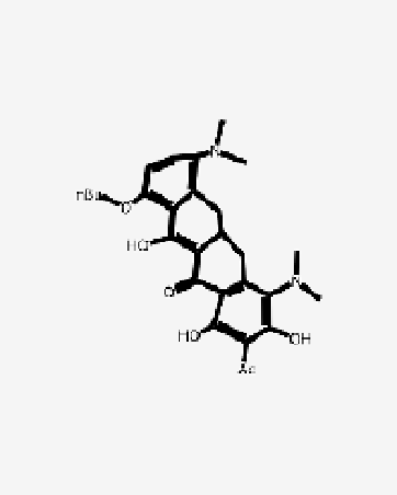 CCCCOc1ccc(N(C)C)c2c1C(O)=C1C(=O)c3c(O)c(C(C)=O)c(O)c(N(C)C)c3CC1C2